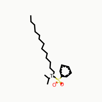 CCCCCCCCCCCC[CH2][Ti]([CH](C)C)[S](=O)(=O)c1ccccc1